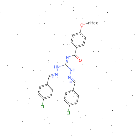 CCCCCCOc1ccc(C(=O)N=C(N/N=C/c2ccc(Cl)cc2)N/N=C/c2ccc(Cl)cc2)cc1